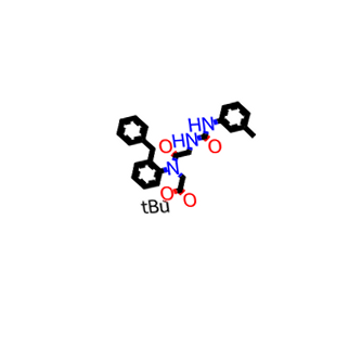 Cc1cccc(NC(=O)NCC(=O)N(CC(=O)OC(C)(C)C)c2ccccc2Cc2ccccc2)c1